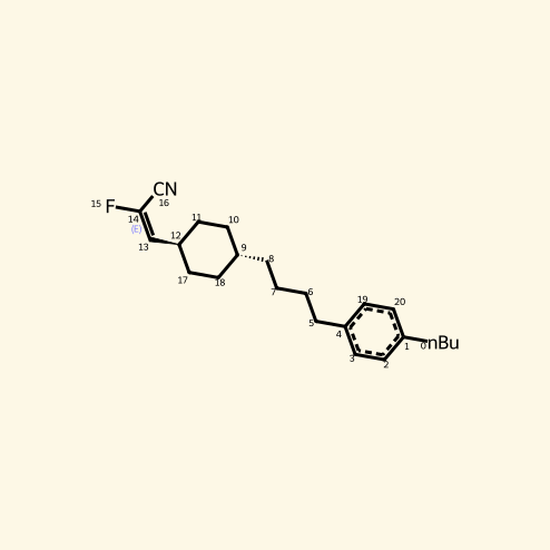 CCCCc1ccc(CCCC[C@H]2CC[C@H](/C=C(/F)C#N)CC2)cc1